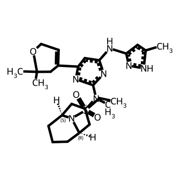 CCS(=O)(=O)N1[C@@H]2CCC[C@H]1C[C@@H](N(C)c1nc(Nc3cc(C)[nH]n3)cc(C3=CCOC(C)(C)C3)n1)C2